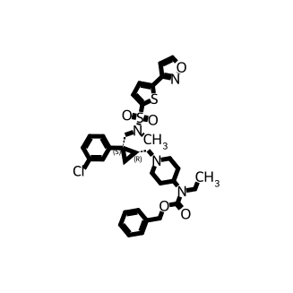 CCN(C(=O)OCc1ccccc1)C1CCN(C[C@@H]2C[C@@]2(CN(C)S(=O)(=O)c2ccc(-c3ccon3)s2)c2cccc(Cl)c2)CC1